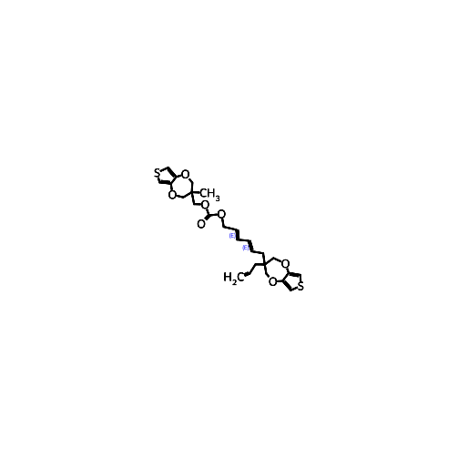 C=CCC1(C/C=C/C=C/COC(=O)OCC2(C)COc3cscc3OC2)COc2cscc2OC1